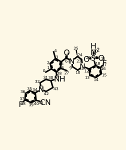 Cc1cc(C)c(C(=O)N2CCN(c3cccc(F)c3S(N)(=O)=O)C[C@@H]2C)c(C)c1NC1CCN(c2ccc(F)cc2C#N)CC1